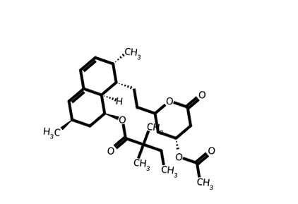 CCC(C)(C)C(=O)O[C@H]1C[C@@H](C)C=C2C=C[C@H](C)[C@H](CCC3C[C@@H](OC(C)=O)CC(=O)O3)[C@H]21